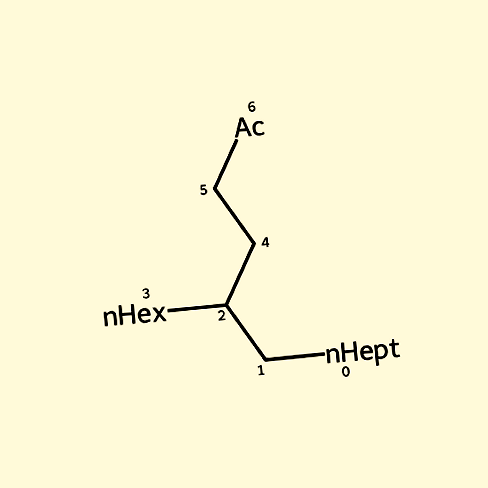 CCCCCCCCC(CCCCCC)CCC(C)=O